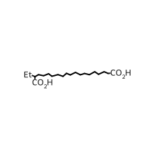 CCC(CCCCCCCCCCCCCCCCC(=O)O)C(=O)O